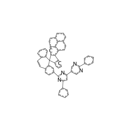 C1=Cc2ccc(-c3nc(-c4ccccc4)cc(-c4cnc(-c5ccccc5)nc4)n3)cc2C2(c3ccccc31)c1ccccc1-c1c2cc2ccc3cccc4ccc1c2c34